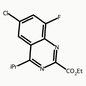 CCOC(=O)c1nc(C(C)C)c2cc(Cl)cc(F)c2n1